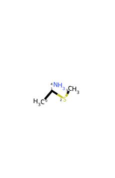 CCSC.N